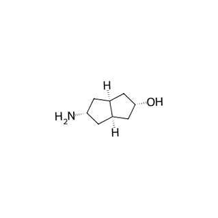 N[C@H]1C[C@@H]2C[C@@H](O)C[C@@H]2C1